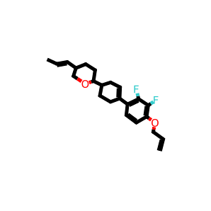 C=CCOc1ccc(C2=CCC(C3CCC(/C=C/C)CO3)CC2)c(F)c1F